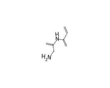 C=CC(=C)NC(=C)CN